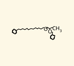 CCC(COCCCCCCCCCCCCCc1ccccc1)OCc1ccccc1